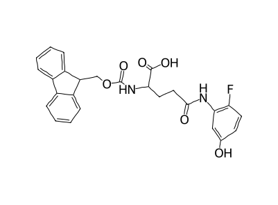 O=C(CCC(NC(=O)OCC1c2ccccc2-c2ccccc21)C(=O)O)Nc1cc(O)ccc1F